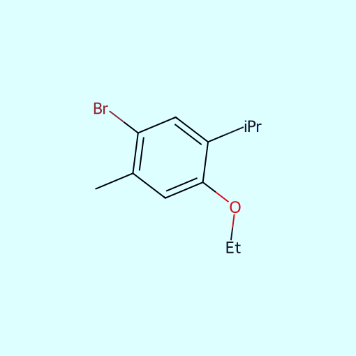 CCOc1cc(C)c(Br)cc1C(C)C